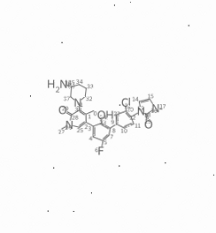 Cc1c(-c2cc(F)cc(-c3ccc(-n4ccn(C)c4=O)c(Cl)c3)c2O)cn(C)c(=O)c1N1CCC[C@H](N)C1